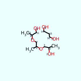 CC(O)COC(C)COC(C)CO.OCCCO